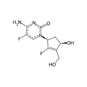 Nc1nc(=O)n([C@H]2C[C@@H](O)C(CO)=C2F)cc1I